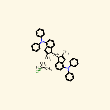 CC1=Cc2c(cccc2N(c2ccccc2)c2ccccc2)[CH]1[Zr+2][CH]1C(C)=Cc2c1cccc2N(c1ccccc1)c1ccccc1.C[SiH2]C.[Cl-].[Cl-]